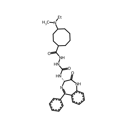 CCN(C)C1CCCCC(C(=O)NNC(=O)N[C@H]2N=C(c3ccccc3)c3ccccc3NC2=O)CC1